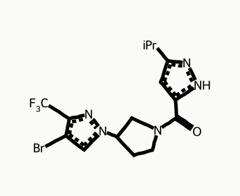 CC(C)c1cc(C(=O)N2CCC(n3cc(Br)c(C(F)(F)F)n3)C2)[nH]n1